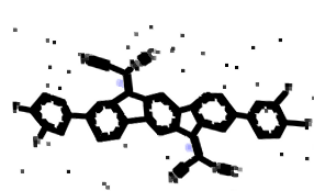 [C-]#[N+]/C(C#N)=C1/c2cc(-c3ccc(F)c(F)c3)ccc2-c2cc3c(cc21)-c1ccc(-c2ccc(F)c(F)c2)cc1/C3=C(/C#N)[N+]#[C-]